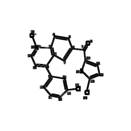 O=C(c1ccc2c(c1)c(-c1cccc(Cl)c1)cc[n+]2[O-])c1ccc(Cl)s1